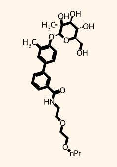 CCCOCCOCCNC(=O)c1cccc(-c2ccc(O[C@H]3O[C@H](CO)[C@@H](O)[C@H](O)[C@]3(C)O)c(C)c2)c1